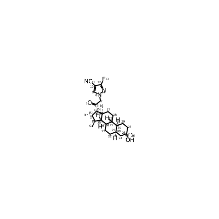 C[C@H]1[C@H](C)[C@H](C(=O)Cn2cc(C#N)c(F)n2)[C@@]2(C)CC[C@H]3[C@@H](CC[C@@H]4C[C@](C)(O)CC[C@@H]43)[C@H]12